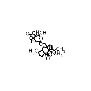 CC(C)C1=CC2CC3(C=O)C4CCC(C)C4CC2(CO[C@H]2C[C@@H]4OC(=O)O[C@@H]4[C@@H](C)O2)C13C(=O)O